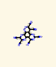 N#Cc1nc(C#N)c2c3nc(C#N)c(C#N)nc3c3nnc(C#N)c(C#N)c3c2n1